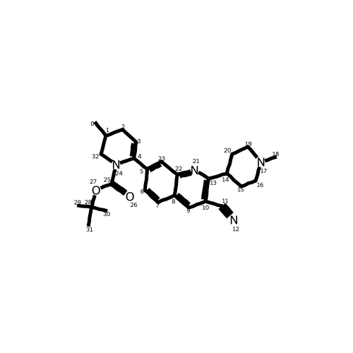 CC1CC=C(c2ccc3cc(C#N)c(C4CCN(C)CC4)nc3c2)N(C(=O)OC(C)(C)C)C1